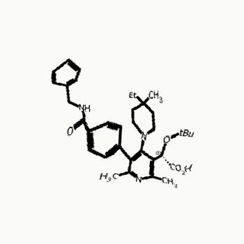 CCC1(C)CCN(c2c(-c3ccc(C(=O)NCc4ccccc4)cc3)c(C)nc(C)c2[C@H](OC(C)(C)C)C(=O)O)CC1